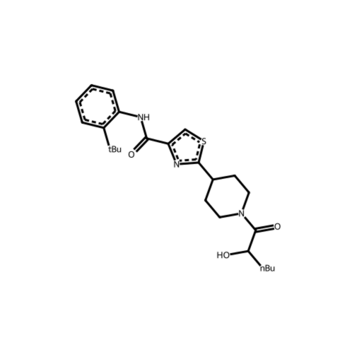 CCCCC(O)C(=O)N1CCC(c2nc(C(=O)Nc3ccccc3C(C)(C)C)cs2)CC1